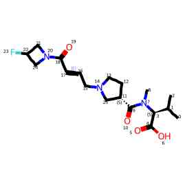 CC(C)[C@@H](C(=O)O)N(C)C(=O)[C@H]1CCN(C/C=C/C(=O)N2CC(F)C2)C1